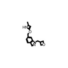 CC1C=C(OCc2ccc3cnn(CC4COC4)c3c2)N1